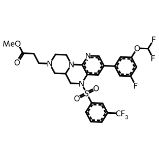 COC(=O)CCN1CCN2c3ncc(-c4cc(F)cc(OC(F)F)c4)cc3N(S(=O)(=O)c3cccc(C(F)(F)F)c3)CC2C1